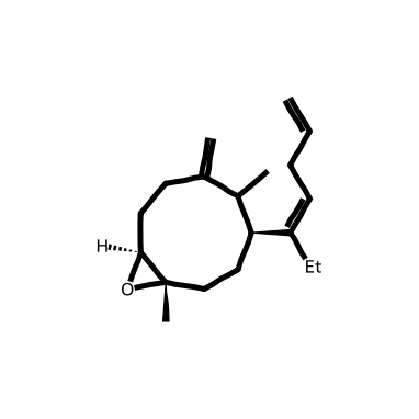 C=CC/C=C(/CC)[C@H]1CC[C@]2(C)O[C@H]2CCC(=C)C1C